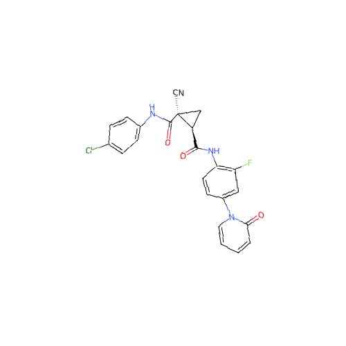 N#C[C@]1(C(=O)Nc2ccc(Cl)cc2)C[C@H]1C(=O)Nc1ccc(-n2ccccc2=O)cc1F